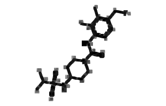 Cc1c(CF)ccc(NC(=O)N2CCC(NS(=O)(=O)C(C)C)CC2)c1C